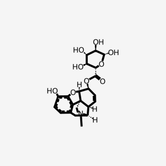 CN1CC[C@]23c4c5ccc(O)c4O[C@H]2[C@@H](OC(=O)[C@H]2O[C@@H](O)[C@H](O)[C@@H](O)[C@@H]2O)C=C[C@H]3[C@H]1C5